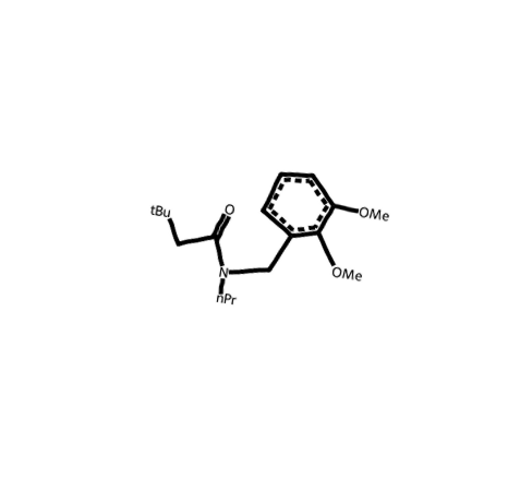 CCCN(Cc1cccc(OC)c1OC)C(=O)CC(C)(C)C